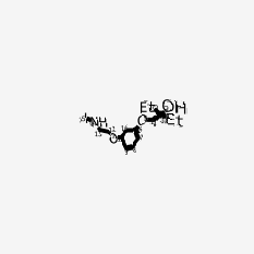 CCC(O)(CC)COC1=CC=CC(OCCNI)C1